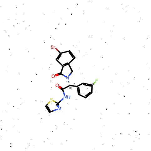 O=C(Nc1nccs1)[C@@H](c1cccc(F)c1)N1Cc2ccc(Br)cc2C1=O